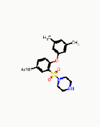 CC(=O)Nc1ccc(Oc2cc(C)cc(C)c2)c(S(=O)(=O)N2CCNCC2)c1